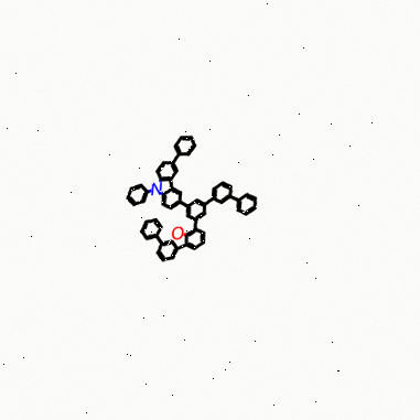 c1ccc(-c2cccc(-c3cc(-c4ccc5c(c4)c4cc(-c6ccccc6)ccc4n5-c4ccccc4)cc(-c4cccc5c4oc4c(-c6ccccc6)cccc45)c3)c2)cc1